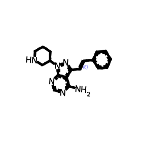 Nc1ncnc2c1c(/C=C/c1ccccc1)nn2C1CCCNC1